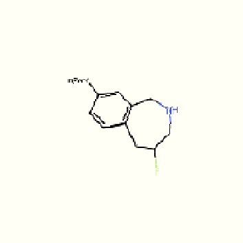 CCCCCc1ccc2c(c1)CNCC(F)C2